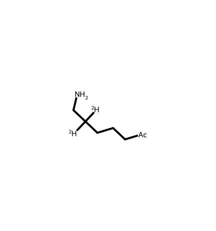 [2H]C([2H])(CN)CCCC(C)=O